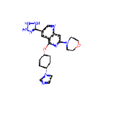 c1cn([C@H]2CC[C@@H](Oc3nc(N4CCOCC4)cc4ncc(C5=NNNN5)cc34)CC2)cn1